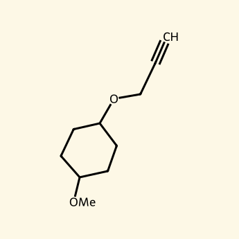 C#CCOC1CCC(OC)CC1